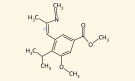 C=N/C(C)=C\c1cc(C(=O)OC)cc(OC)c1C(C)C